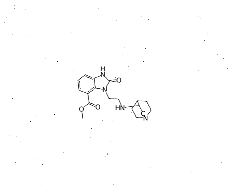 COC(=O)c1cccc2[nH]c(=O)n(CCNC3CN4CCC3CC4)c12